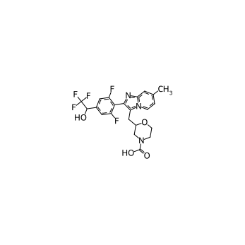 Cc1ccn2c(CC3CN(C(=O)O)CCO3)c(-c3c(F)cc(C(O)C(F)(F)F)cc3F)nc2c1